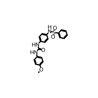 COc1ccc(NC(=O)Nc2ccc(NS(=O)(=O)c3ccccc3)cc2)cc1